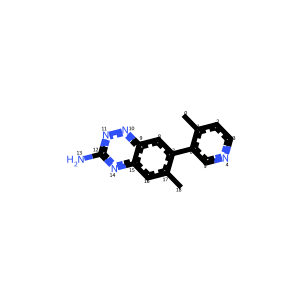 Cc1ccncc1-c1cc2nnc(N)nc2cc1C